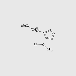 CCO[SiH3].COC.Cc1ccco1